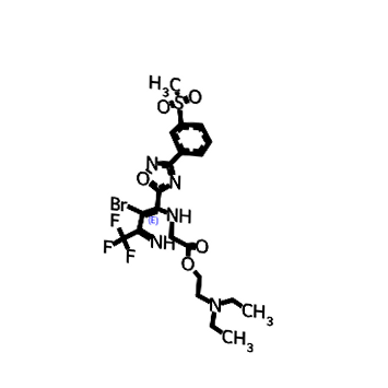 CCN(CC)CCOC(=O)CN/C(=C(/Br)C(=N)C(F)(F)F)c1nc(-c2cccc(S(C)(=O)=O)c2)no1